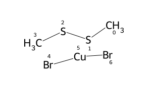 CSSC.[Br][Cu][Br]